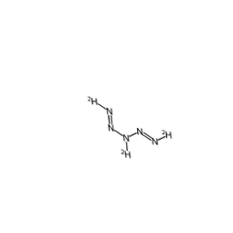 [2H]/N=N/N([2H])/N=N/[2H]